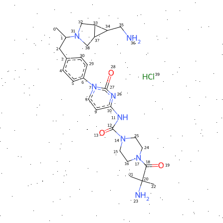 CC(Cc1ccc(-n2ccc(NC(=O)N3CCN(C(=O)C(C)(C)N)CC3)nc2=O)cc1)N1CC2C(CN)C2C1.Cl